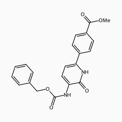 COC(=O)c1ccc(-c2ccc(NC(=O)OCc3ccccc3)c(=O)[nH]2)cc1